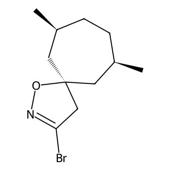 C[C@@H]1CC[C@H](C)C[C@@]2(CC(Br)=NO2)C1